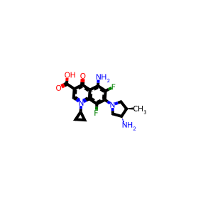 C[C@@H]1CN(c2c(F)c(N)c3c(=O)c(C(=O)O)cn(C4CC4)c3c2F)C[C@H]1N